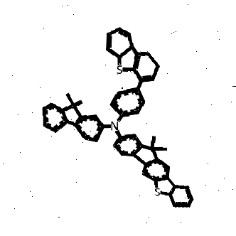 CC1(C)c2ccccc2-c2ccc(N(c3ccc(C4=CCCC5=C4SC4C=CC=CC54)cc3)c3ccc4c(c3)C(C)(C)c3cc5c(cc3-4)SC3C=CC=CC53)cc21